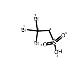 O=S(=O)(O)CC(Br)(Br)Br